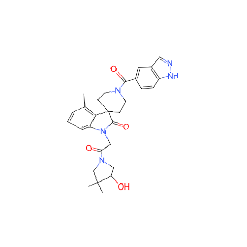 Cc1cccc2c1C1(CCN(C(=O)c3ccc4[nH]ncc4c3)CC1)C(=O)N2CC(=O)N1CC(O)C(C)(C)C1